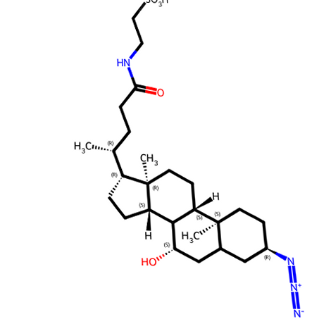 C[C@H](CCC(=O)NCCS(=O)(=O)O)[C@H]1CC[C@H]2C3[C@@H](O)CC4C[C@H](N=[N+]=[N-])CC[C@]4(C)[C@H]3CC[C@]12C